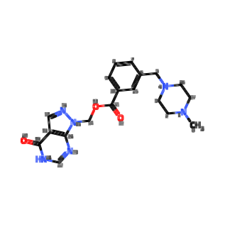 CN1CCN(Cc2cccc(C(=O)OCn3ncc4c(=O)[nH]cnc43)c2)CC1